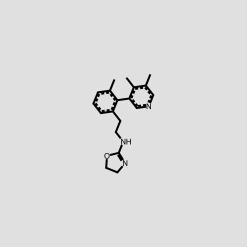 Cc1cncc(-c2c(C)cccc2CCNC2=NCCO2)c1C